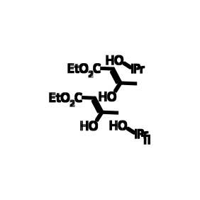 CC(C)O.CC(C)O.CCOC(=O)/C=C(/C)O.CCOC(=O)/C=C(/C)O.[Ti]